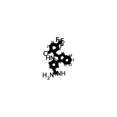 N=C(N)c1ccc2c(c1)C1c3ccccc3CC1C(c1cc(C(F)(F)F)ccc1Cl)N2